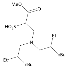 CCCCC(CC)CN(CC(CC)CCCC)CC(C(=O)OC)S(=O)(=O)O